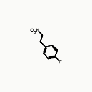 O=[N+]([O-])CCc1ccc(F)cc1